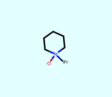 CC(C)[N+]1([O])CCCCC1